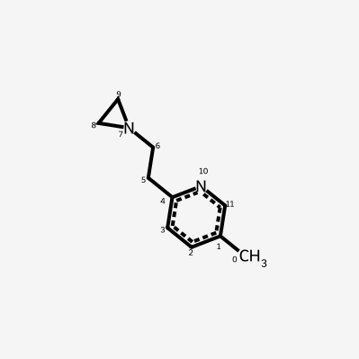 Cc1ccc(CCN2CC2)nc1